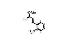 COC(=O)C=Cc1ccccc1N